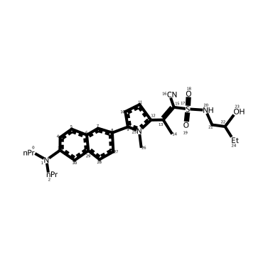 CCCN(CCC)c1ccc2cc(-c3ccc(/C(C)=C(\C#N)S(=O)(=O)NCC(O)CC)n3C)ccc2c1